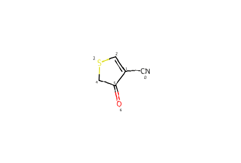 N#CC1=CSCC1=O